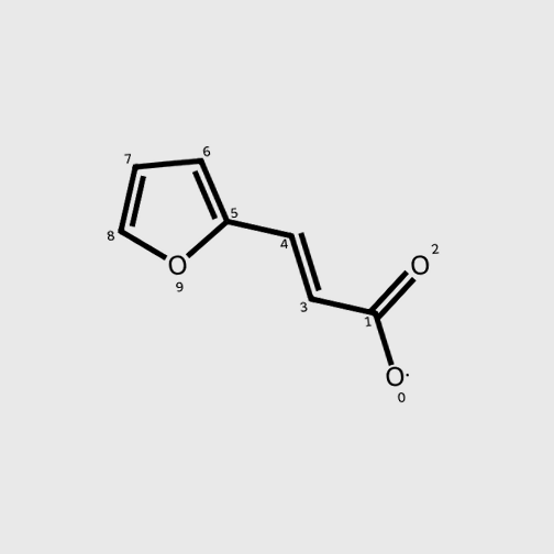 [O]C(=O)/C=C/c1ccco1